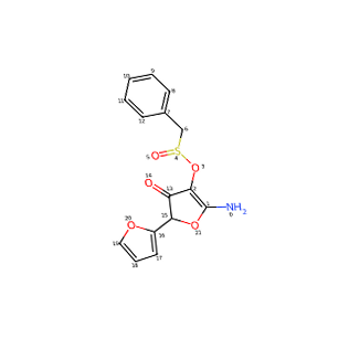 NC1=C(OS(=O)Cc2ccccc2)C(=O)C(c2ccco2)O1